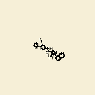 N#Cc1cc(NC(=O)c2cnn(-c3cccc4ccncc34)c2C(F)(F)F)cnc1-n1nccn1